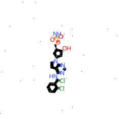 NS(=O)(=O)OC[C@@H]1C[C@@H](n2ccc3c(NC(Cl)c4ccccc4Cl)ncnc32)C[C@@H]1O